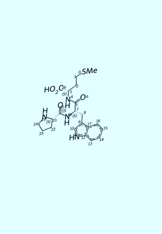 CSCC[C@H](NC(=O)[C@H](Cc1c[nH]c2ccccc12)NC(=O)[C@@H]1CCCN1)C(=O)O